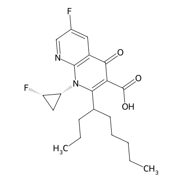 CCCCCC(CCC)c1c(C(=O)O)c(=O)c2cc(F)cnc2n1[C@@H]1C[C@@H]1F